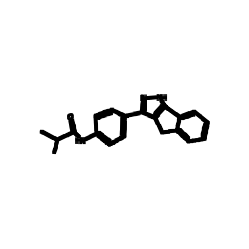 CC(C)C(=O)Nc1ccc(-c2n[nH]c3c2Cc2ccccc2-3)cc1